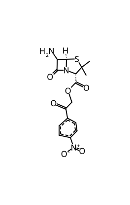 CC1(C)S[C@@H]2C(N)C(=O)N2[C@H]1C(=O)OCC(=O)c1ccc([N+](=O)[O-])cc1